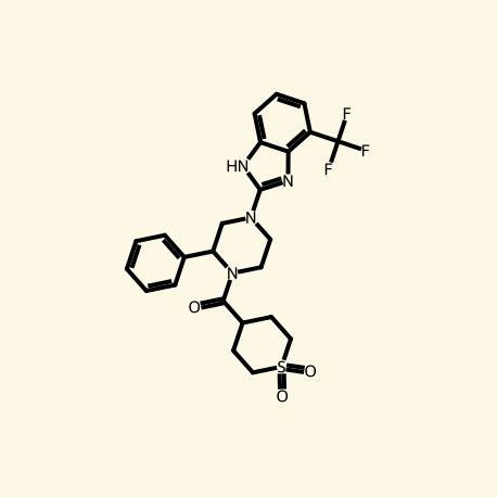 O=C(C1CCS(=O)(=O)CC1)N1CCN(c2nc3c(C(F)(F)F)cccc3[nH]2)CC1c1ccccc1